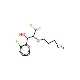 CCCCO[C@H](C(F)F)[C@H](O)c1ccccc1F